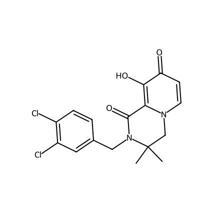 CC1(C)Cn2ccc(=O)c(O)c2C(=O)N1Cc1ccc(Cl)c(Cl)c1